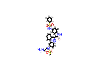 CS(=O)(=O)N(CCN)c1ccc(N/C(=C2\C(=O)Nc3ccc(NS(=O)(=O)c4ccccc4)cc32)c2ccccc2)cc1